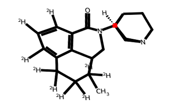 [2H]c1c([2H])c2c3c(c1[2H])C([2H])([2H])C([2H])([2H])C([2H])(C)[C@]3([2H])CN([C@@H]1CN3CCC1CC3)C2=O